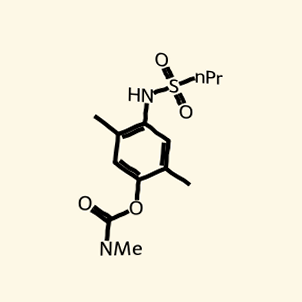 CCCS(=O)(=O)Nc1cc(C)c(OC(=O)NC)cc1C